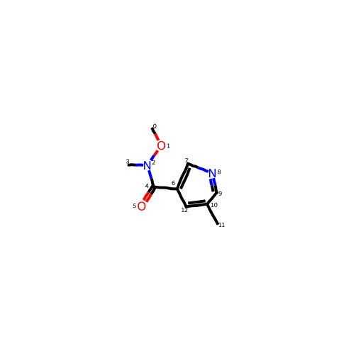 CON(C)C(=O)c1cncc(C)c1